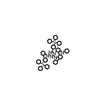 c1ccc(-n2c3ccccc3c3c2ccc2c4ccccc4n(-c4nc(-c5ccc(S(c6ccccc6)(c6ccccc6)c6ccccc6)cc5)nc(-n5c6ccccc6c6cc(S(c7ccccc7)(c7ccccc7)c7ccccc7)ccc65)n4)c23)cc1